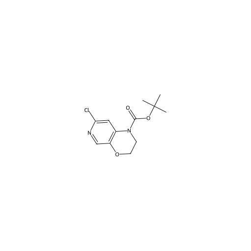 CC(C)(C)OC(=O)N1CCOc2cnc(Cl)cc21